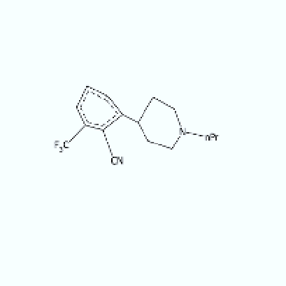 CCCN1CCC(c2cccc(C(F)(F)F)c2C#N)CC1